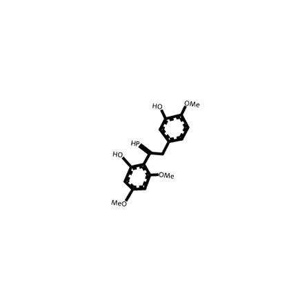 COc1cc(O)c(C(=P)Cc2ccc(OC)c(O)c2)c(OC)c1